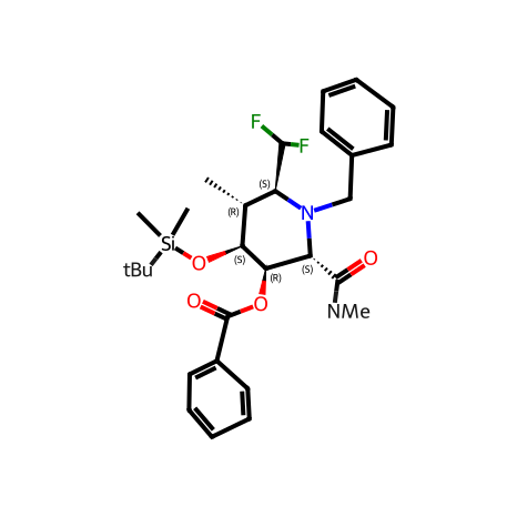 CNC(=O)[C@@H]1[C@@H](OC(=O)c2ccccc2)[C@@H](O[Si](C)(C)C(C)(C)C)[C@H](C)[C@@H](C(F)F)N1Cc1ccccc1